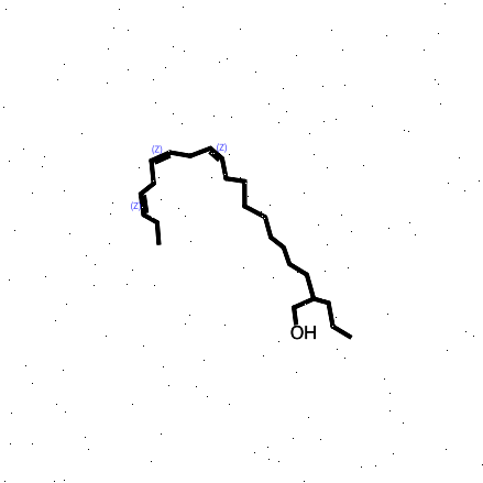 CC/C=C\C/C=C\C/C=C\CCCCCCCCC(CO)CCC